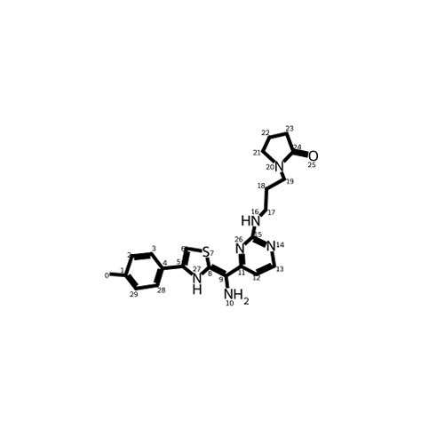 Cc1ccc(C2=CS/C(=C(/N)c3ccnc(NCCCN4CCCC4=O)n3)N2)cc1